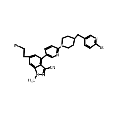 CCc1ccc(CC2CCN(c3ccc(-c4cc(CCC(C)C)cc5c4c(C#N)nn5C)cn3)CC2)cn1